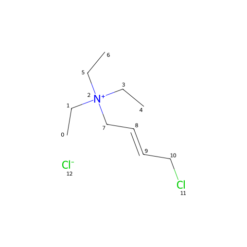 CC[N+](CC)(CC)CC=CCCl.[Cl-]